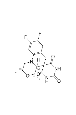 C[C@@H]1CN2c3cc(F)c(F)cc3CC3(C(=O)NC(=O)NC3=O)[C@H]2[C@H](C)O1